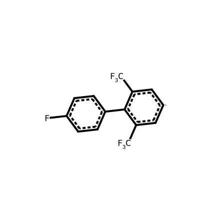 Fc1ccc(-c2c(C(F)(F)F)c[c]cc2C(F)(F)F)cc1